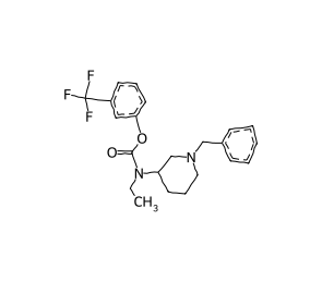 CCN(C(=O)Oc1cccc(C(F)(F)F)c1)C1CCCN(Cc2ccccc2)C1